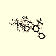 C[C@H](CC(Oc1ccc(-c2ccccc2)cc1C(F)(F)F)c1cccnc1)O[Si](C)(C)C(C)(C)C